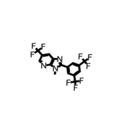 Cn1c(-c2cc(C(F)(F)F)cc(C(F)(F)F)c2)nc2cc(C(F)(F)F)cnc21